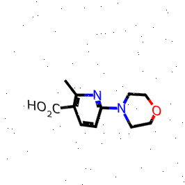 Cc1nc(N2CCOCC2)ccc1C(=O)O